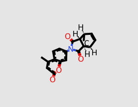 Cc1cc(=O)oc2cc(N3C(=O)[C@@H]4[C@H](C3=O)[C@@H]3C=C[C@H]4CC3)ccc12